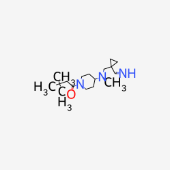 CN(CC1(C=N)CC1)C1CCN(C(=O)CC(C)(C)C)CC1